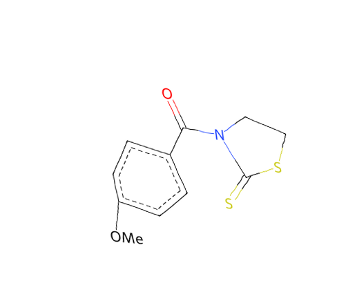 COc1ccc(C(=O)N2CCSC2=S)cc1